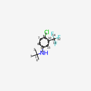 CC(C)(C)Nc1ccc(Cl)c(C(F)(F)F)c1